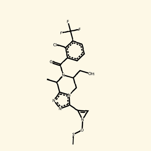 CSON1C=C1c1nnc2n1CC(CO)N(C(=O)c1cccc(C(F)(F)F)c1Cl)C2C